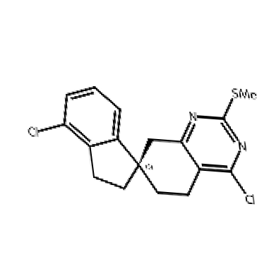 CSc1nc(Cl)c2c(n1)C[C@]1(CCc3c(Cl)cccc31)CC2